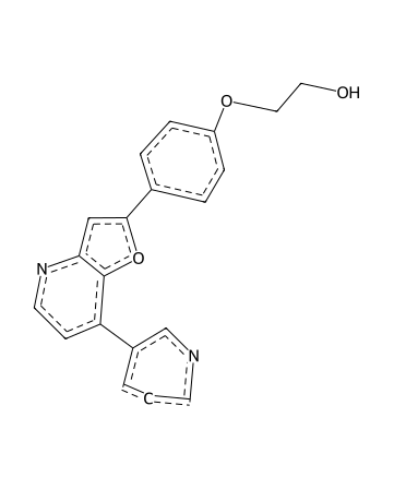 OCCOc1ccc(-c2cc3nccc(-c4cccnc4)c3o2)cc1